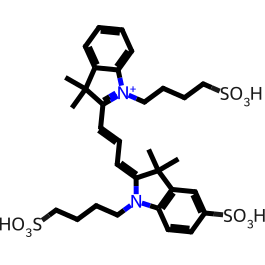 CC1(C)C(=CC=CC2=[N+](CCCCS(=O)(=O)O)c3ccccc3C2(C)C)N(CCCCS(=O)(=O)O)c2ccc(S(=O)(=O)O)cc21